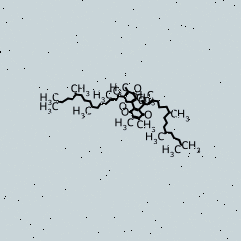 CC1=C(C)C(=O)C(C2=C(C)C(=O)C(C)=C(C(=O)/C=C(\C)CCCC(C)CCCC(C)CCCC(C)C)C2=O)=C(C(=O)/C=C(\C)CCCC(C)CCCC(C)CCCC(C)C)C1=O